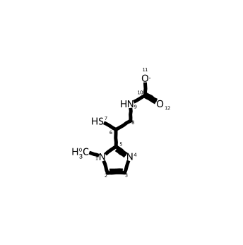 Cn1ccnc1C(S)CNC([O])=O